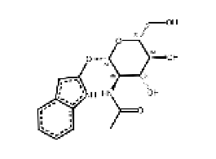 CC(=O)N[C@H]1[C@H](Oc2cc3ccccc3[nH]2)O[C@H](CO)[C@@H](O)[C@@H]1O